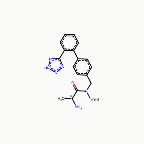 CCCCCN(Cc1ccc(-c2ccccc2-c2nn[nH]n2)cc1)C(=O)[C@H](C)N